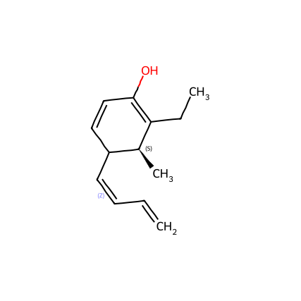 C=C/C=C\C1C=CC(O)=C(CC)[C@H]1C